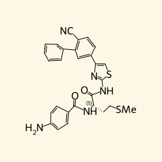 CSCC[C@H](NC(=O)c1ccc(N)cc1)C(=O)Nc1nc(-c2ccc(C#N)c(-c3ccccc3)c2)cs1